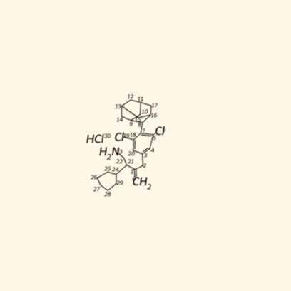 C=C(Cc1cc(Cl)c(C2C3CC4CC(C3)CC2C4)c(Cl)c1)C(CN)C1CCCCC1.Cl